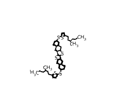 CCCC(C)CCc1ccc(Sc2ccc3c(c2)CC2Sc4c(sc5cc6cc(Sc7ccc(CCC(C)CCC)s7)ccc6cc45)C2=C3)s1